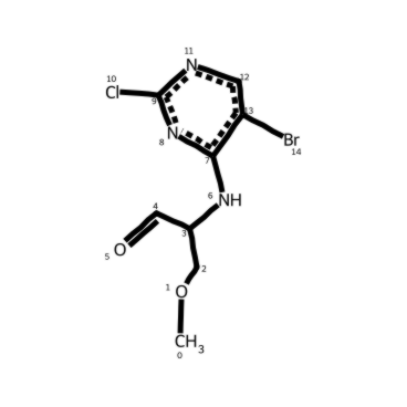 COCC(C=O)Nc1nc(Cl)ncc1Br